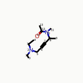 CCN(CC)CC#CC(C)N(C)C(C)=O